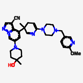 COc1ccc(CN2CCN(C3=CCC(C)(c4cc(N5CCC(C)(O)CC5)cn5ncc(C#N)c45)C=N3)CC2)cn1